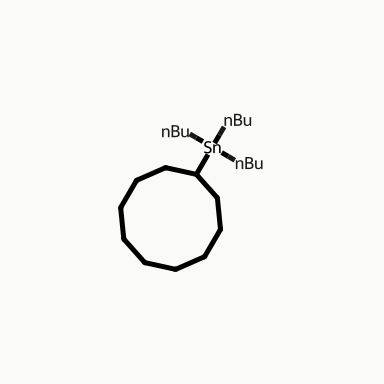 CCC[CH2][Sn]([CH2]CCC)([CH2]CCC)[C]1CCCCCCCCC1